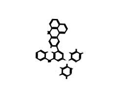 [2H]c1c([2H])c([2H])c(N(c2cc3c4c(c2)c2cc5c(cc2n4-c2ccccc2C3(C)C)C(C)(C)c2cccc3cccc-5c23)c2c([2H])c([2H])c([2H])c([2H])c2[2H])c([2H])c1[2H]